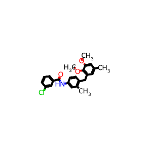 COc1cc(C)cc(Cc2ccc(NC(=O)c3cccc(Cl)c3)cc2C)c1OC